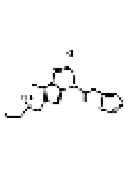 Cc1c(C[C@@H](N)CF)cc2c(NCc3cccs3)cc(Cl)nn12